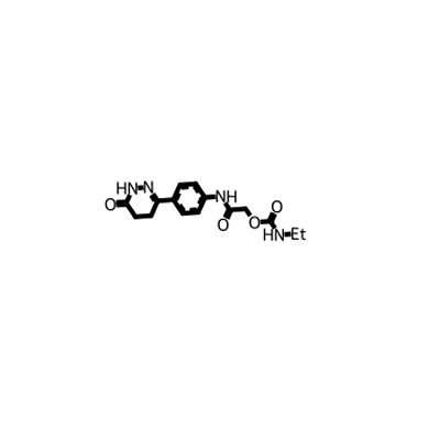 CCNC(=O)OCC(=O)Nc1ccc(C2=NNC(=O)CC2)cc1